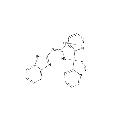 CN/C(=N/c1nc2ccccc2[nH]1)NC(C=O)(c1ccccn1)c1ccccn1